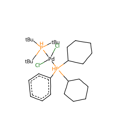 CC(C)(C)[PH](C(C)(C)C)(C(C)(C)C)[Pd]([Cl])([Cl])[PH](c1ccccc1)(C1CCCCC1)C1CCCCC1